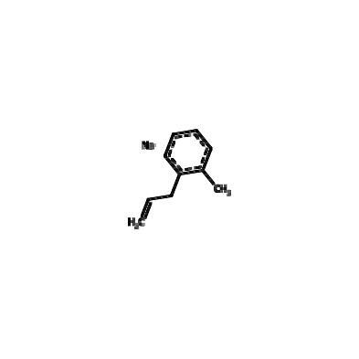 C=CCc1ccccc1C.[Na]